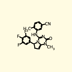 Cc1ccc(C#N)cc1NC1=NC(=O)N(C)C2=CCC(c3cc(F)c(F)c(F)c3)N21